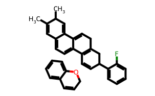 C1=Cc2ccccc2OC1.CC1=Cc2ccc3c(c2=CC1C)=CCC1=C3C=CC(c2ccccc2F)C1